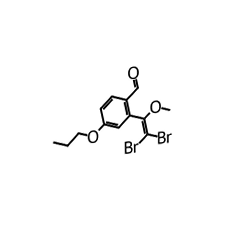 CCCOc1ccc(C=O)c(C(OC)=C(Br)Br)c1